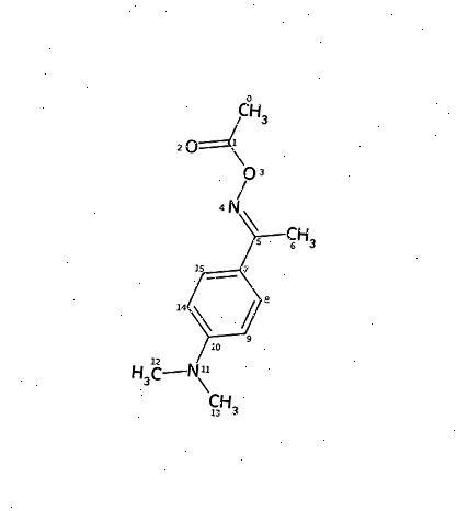 CC(=O)ON=C(C)c1ccc(N(C)C)cc1